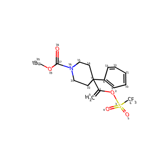 C=C(OS(=O)(=O)C(F)(F)F)C1(c2ccccc2)CCN(C(=O)OC(C)(C)C)CC1